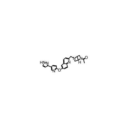 CC(=O)N1CC2[C@H]1CN2Cc1ccc2cc(Oc3ccc(-c4cc[nH]n4)cn3)ccc2n1